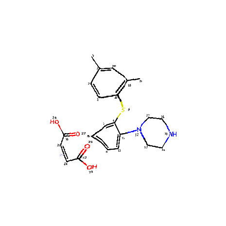 Cc1ccc(Sc2ccccc2N2CCNCC2)c(C)c1.O=C(O)/C=C\C(=O)O